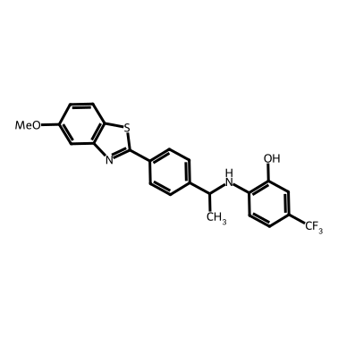 COc1ccc2sc(-c3ccc(C(C)Nc4ccc(C(F)(F)F)cc4O)cc3)nc2c1